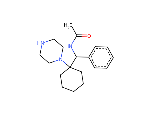 CC(=O)NC(c1ccccc1)C1(N2CCNCC2)CCCCC1